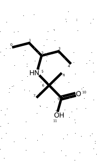 CCC(CC)NC(C)(C)C(=O)O